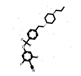 CCC[C@H]1CC[C@H](CCc2ccc(C(F)(F)Oc3cc(F)c(C#N)c(F)c3)cc2)CC1